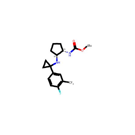 CC(C)(C)OC(=O)N[C@H]1CCC[C@@H]1NC1(c2ccc(F)c(C(F)(F)F)c2)CC1